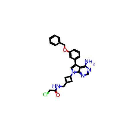 Nc1ncnc2c1c(-c1cccc(OCc3ccccc3)c1)cn2C1CC(CNC(=O)CCl)C1